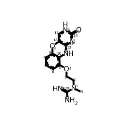 CN(CCOc1cccc2c1Nc1nc(=O)[nH]cc1O2)C(=N)N